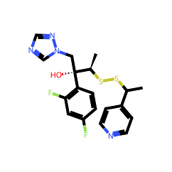 CC(SS[C@H](C)[C@](O)(Cn1cncn1)c1ccc(F)cc1F)c1ccncc1